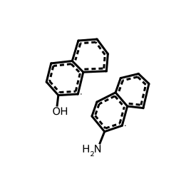 Nc1[c]c2ccccc2cc1.Oc1[c]c2ccccc2cc1